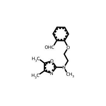 Cc1nc(N(C)CCOc2ccccc2C=O)oc1C